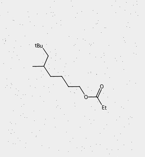 CCC(=O)OCCCCC(C)CC(C)(C)C